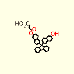 O=C(O)C=CC(=O)Oc1ccc2cc(C3(c4ccc5cc(O)ccc5c4)c4ccccc4-c4ccccc43)ccc2c1